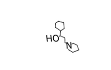 OC(CCN1CCCCC1)C1CCCCC1